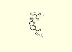 COC(=O)c1ccc2ccc(NC(=O)C(C)C)cc2c1